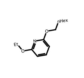 CCCCCCCOc1cccc(OCC)n1